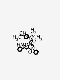 CC(C)c1ccc(N(C(=O)CN2C=CN(c3ccccc3)C(=O)C(=Cc3n[nH]c4ccccc34)C2=O)C(C)C)cc1